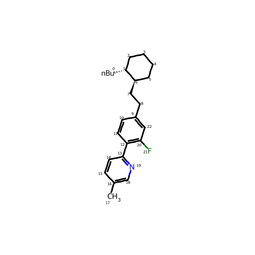 CCCC[C@@H]1CCCC[C@H]1CCc1ccc(-c2ccc(C)cn2)c(F)c1